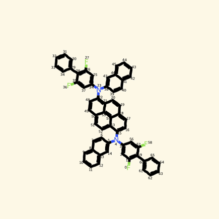 Fc1cc(N(c2ccc3ccccc3c2)c2ccc3ccc4c(N(c5cc(F)c(-c6ccccc6)c(F)c5)c5ccc6ccccc6c5)ccc5ccc2c3c54)cc(F)c1-c1ccccc1